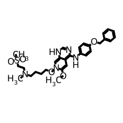 COC1=CC2=C(Nc3ccc(OCc4ccccc4)cc3)N=CNC2=CN1OCCCCN(C)CCS(C)(=O)=O